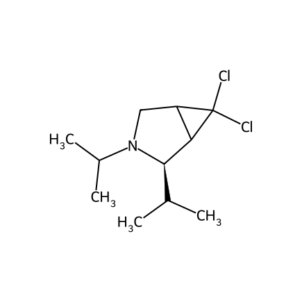 CC(C)[C@@H]1C2C(CN1C(C)C)C2(Cl)Cl